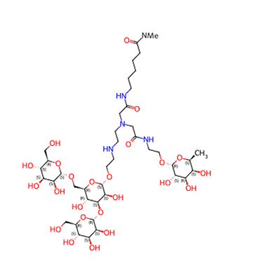 CNC(=O)CCCCCNC(=O)CN(CCNCCO[C@H]1O[C@H](CO[C@H]2O[C@H](CO)[C@@H](O)[C@H](O)[C@@H]2O)[C@@H](O)[C@H](O[C@H]2O[C@H](CO)[C@@H](O)[C@H](O)[C@@H]2O)[C@@H]1O)CC(=O)NCCO[C@@H]1O[C@@H](C)[C@@H](O)[C@@H](O)[C@@H]1O